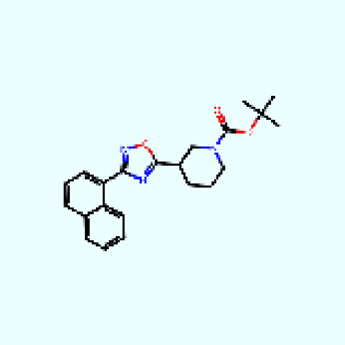 CC(C)(C)OC(=O)N1CCCC(c2nc(-c3cccc4ccccc34)no2)C1